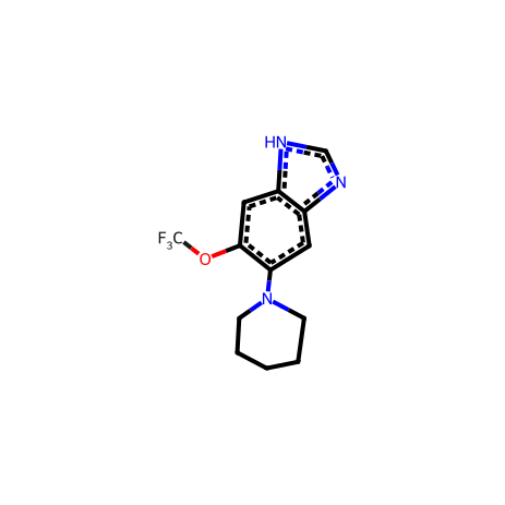 FC(F)(F)Oc1cc2[nH]cnc2cc1N1CCCCC1